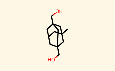 CC12CC3CC(CO)(C1)CC(CO)(C3)C2